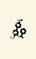 CNc1ccc(-c2cnc(N)c(OC(C)c3ccccc3)c2)cn1